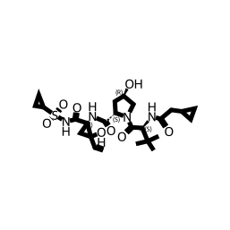 C=CC1(O)C[C@]1(NC(=O)[C@@H]1C[C@@H](O)CN1C(=O)[C@@H](NC(=O)CC1CC1)C(C)(C)C)C(=O)NS(=O)(=O)C1CC1